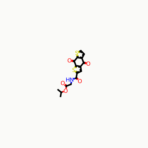 CC(C)OC(=O)CNC(=O)c1cc2c(s1)C(=O)c1sccc1C2=O